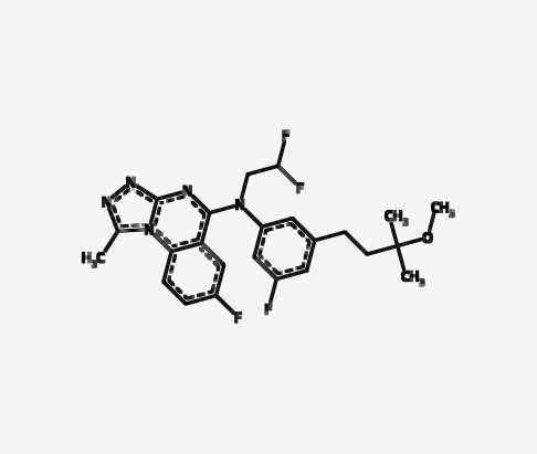 COC(C)(C)CCc1cc(F)cc(N(CC(F)F)c2nc3nnc(C)n3c3ccc(F)cc23)c1